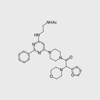 CC(=O)NCCNc1cc(N2CCN(C(=O)C(c3ccco3)N3CCOCC3)CC2)nc(-c2ccccc2)n1